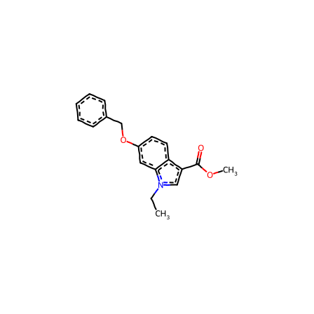 CCn1cc(C(=O)OC)c2ccc(OCc3ccccc3)cc21